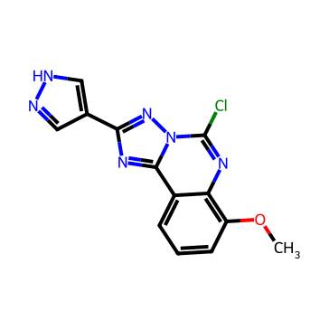 COc1cccc2c1nc(Cl)n1nc(-c3cn[nH]c3)nc21